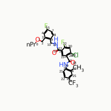 CCCOCc1cc(F)ccc1CNC(=O)c1cc(C(=O)Nc2ccc(C(F)(F)F)cc2C)c(Cl)cc1F